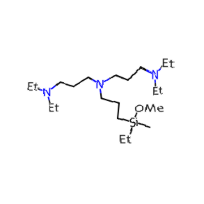 CCN(CC)CCCN(CCCN(CC)CC)CCC[Si](C)(CC)OC